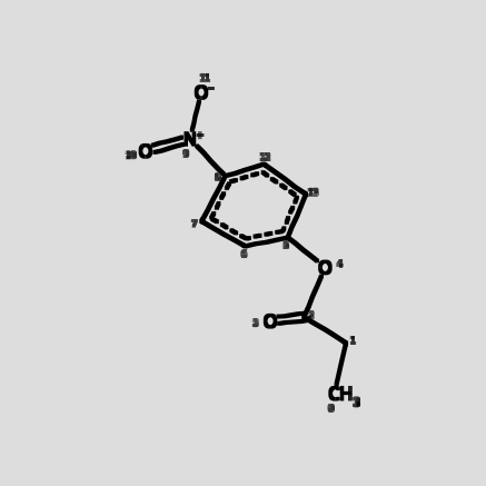 CCC(=O)Oc1ccc([N+](=O)[O-])cc1